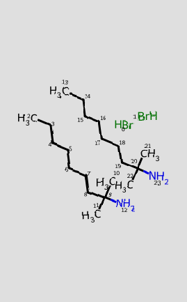 Br.Br.CCCCCCCC(C)(C)N.CCCCCCCC(C)(C)N